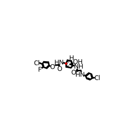 O=C(COc1ccc(Cl)c(F)c1)NC12CCC(NC(=O)CNc3ccc(Cl)cc3)(CC1)[C@@H](O)C2